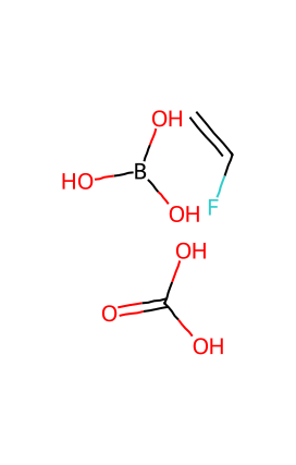 C=CF.O=C(O)O.OB(O)O